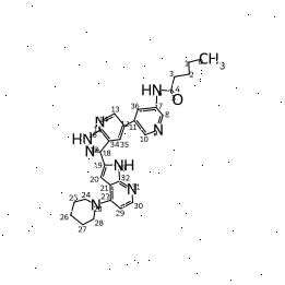 CCCCC(=O)Nc1cncc(-c2cnc3[nH]nc(-c4cc5c(N6CCCCC6)ccnc5[nH]4)c3c2)c1